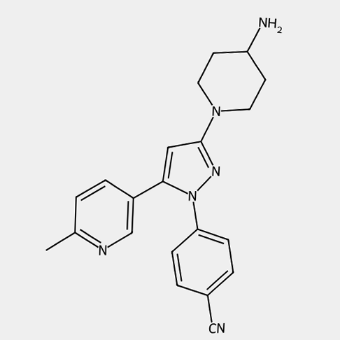 Cc1ccc(-c2cc(N3CCC(N)CC3)nn2-c2ccc(C#N)cc2)cn1